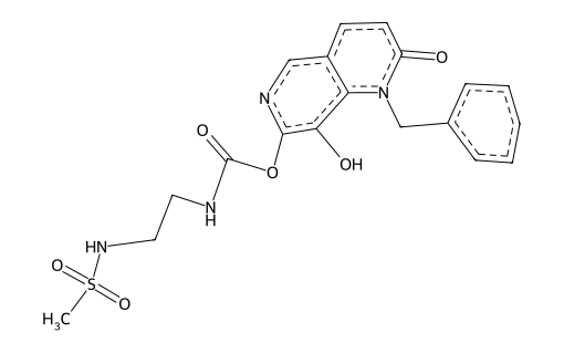 CS(=O)(=O)NCCNC(=O)Oc1ncc2ccc(=O)n(Cc3ccccc3)c2c1O